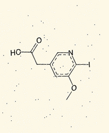 COc1cc(CC(=O)O)cnc1I